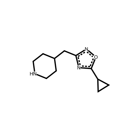 C1CC(Cc2noc(C3CC3)n2)CCN1